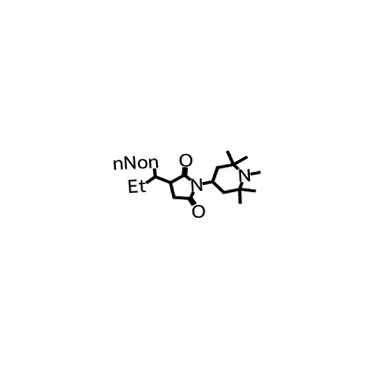 CCCCCCCCCC(CC)C1CC(=O)N(C2CC(C)(C)N(C)C(C)(C)C2)C1=O